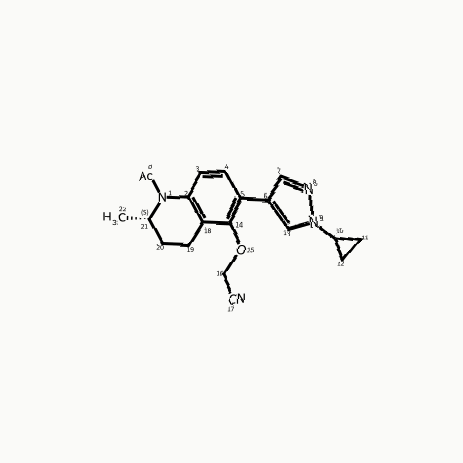 CC(=O)N1c2ccc(-c3cnn(C4CC4)c3)c(OCC#N)c2CC[C@@H]1C